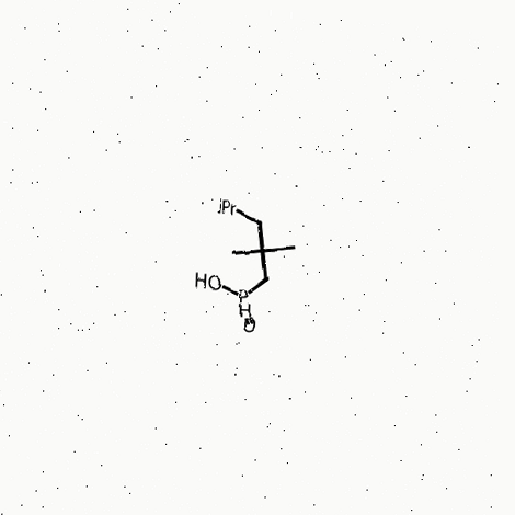 CC(C)CC(C)(C)C[PH](=O)O